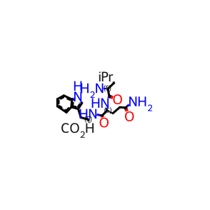 CC(C)C[C@H](N)C(=O)N[C@@H](CCC(N)=O)C(=O)N[C@@H](Cc1c[nH]c2ccccc12)C(=O)O